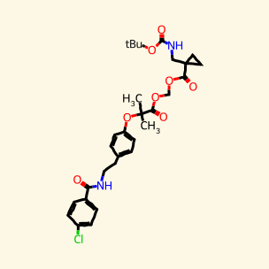 CC(C)(C)OC(=O)NCC1(C(=O)OCOC(=O)C(C)(C)Oc2ccc(CCNC(=O)c3ccc(Cl)cc3)cc2)CC1